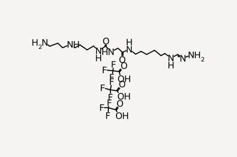 NCCCNCCCCNC(=O)NCC(=O)NCCCCCCNC=NN.O=C(O)C(F)(F)F.O=C(O)C(F)(F)F.O=C(O)C(F)(F)F